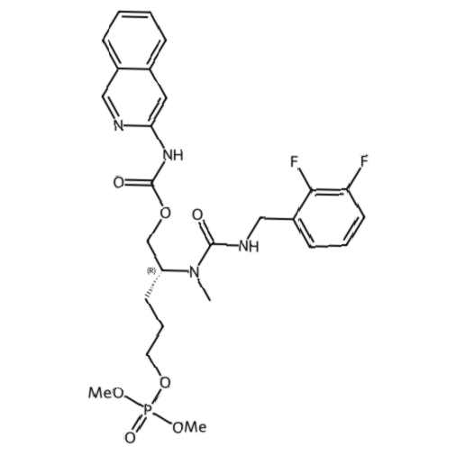 COP(=O)(OC)OCCC[C@H](COC(=O)Nc1cc2ccccc2cn1)N(C)C(=O)NCc1cccc(F)c1F